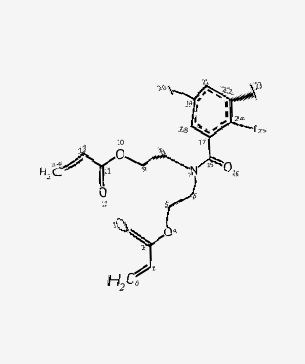 C=CC(=O)OCCN(CCOC(=O)C=C)C(=O)c1cc(I)cc(I)c1I